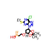 CCSc1nc(Cl)c2nnn([C@@H]3C[C@H](OCCPO)[C@H]4OC(C)(C)OC34)c2n1